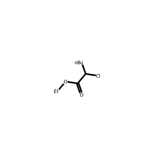 CCCCC(Cl)C(=O)OCC